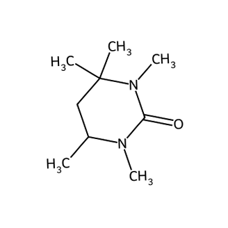 CC1CC(C)(C)N(C)C(=O)N1C